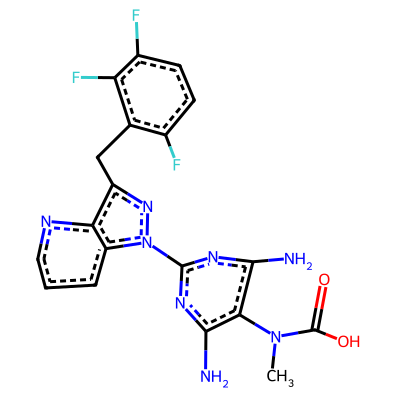 CN(C(=O)O)c1c(N)nc(-n2nc(Cc3c(F)ccc(F)c3F)c3ncccc32)nc1N